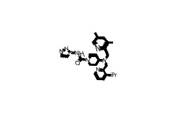 Cc1cnc(CN(Cc2ncccc2C(C)C)C2CCN(C(=O)Nn3ccnn3)CC2)c(C)c1